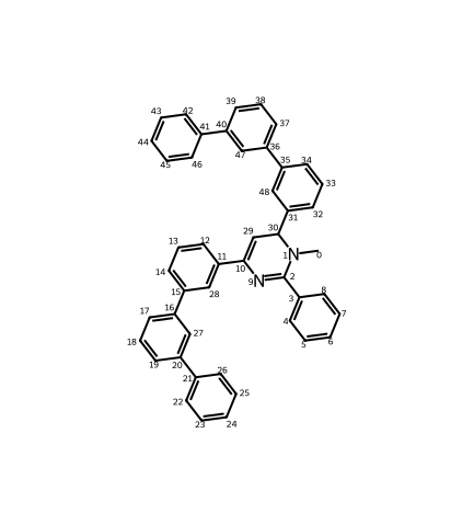 CN1C(c2ccccc2)=NC(c2cccc(-c3cccc(-c4ccccc4)c3)c2)=CC1c1cccc(-c2cccc(-c3ccccc3)c2)c1